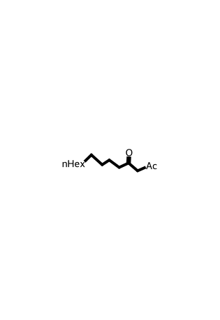 CCCCCCCCCCC(=O)CC(C)=O